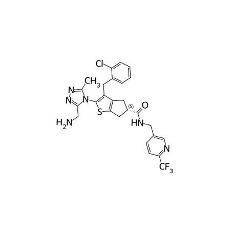 Cc1nnc(CN)n1-c1sc2c(c1Cc1ccccc1Cl)C[C@H](C(=O)NCc1ccc(C(F)(F)F)nc1)C2